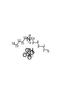 CCCCCCC[N+](C)(C)CCCCC.O=S(=O)([O-])O